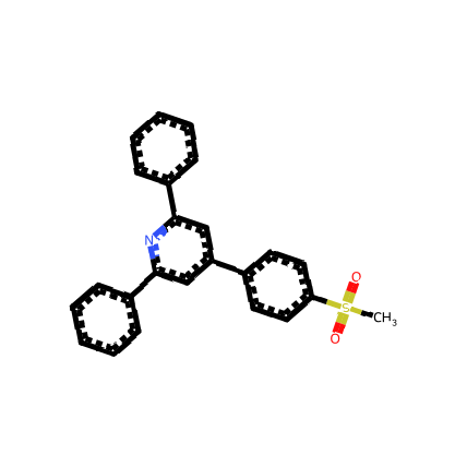 CS(=O)(=O)c1ccc(-c2cc(-c3ccccc3)nc(-c3ccccc3)c2)cc1